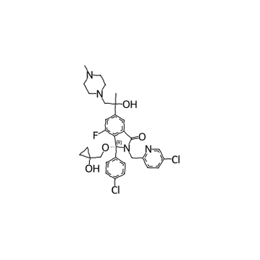 CN1CCN(CC(C)(O)c2cc(F)c3c(c2)C(=O)N(Cc2ccc(Cl)cn2)[C@@]3(OCC2(O)CC2)c2ccc(Cl)cc2)CC1